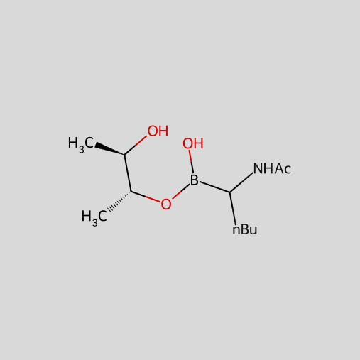 CCCCC(NC(C)=O)B(O)O[C@H](C)[C@@H](C)O